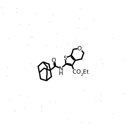 CCOC(=O)c1c(NC(=O)C23CC4CC(CC(C4)C2)C3)sc2c1CCOC2